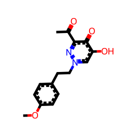 COc1ccc(CCn2cc(O)c(=O)c(C(C)=O)n2)cc1